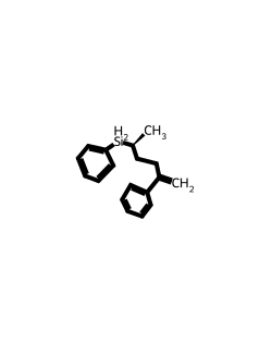 C=C(CC[C@H](C)[SiH2]c1ccccc1)c1ccccc1